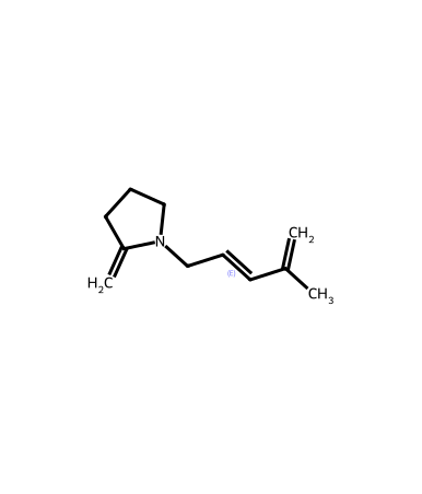 C=C(C)/C=C/CN1CCCC1=C